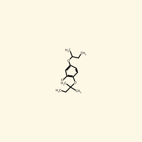 CCC(C)Oc1ccc(OC(C)(C)CC)c(Cl)c1